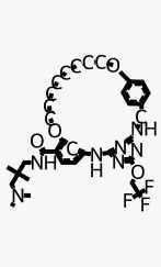 CN(C)CC(C)(C)CNC(=O)c1ccc2cc1OCCCCCCCCOc1ccc(cc1)CNc1nc(nc(OCC(F)(F)F)n1)N2